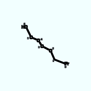 CC(C)COOOOO